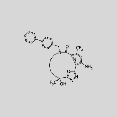 Nc1cc(C(F)(F)F)c2nc1-c1nnc(o1)[C@@](O)(C(F)(F)F)CCCCCN(Cc1ccc(-c3ccccc3)cc1)C2=O